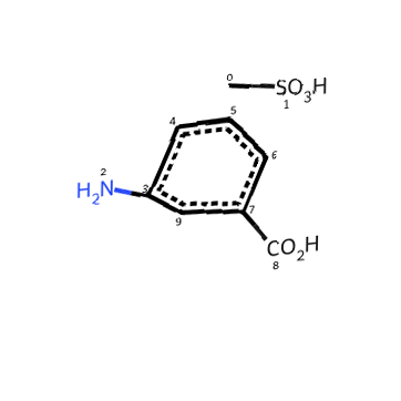 CS(=O)(=O)O.Nc1cccc(C(=O)O)c1